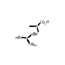 CCCCN(CCCC)CCCC.CN(C)C(=O)O